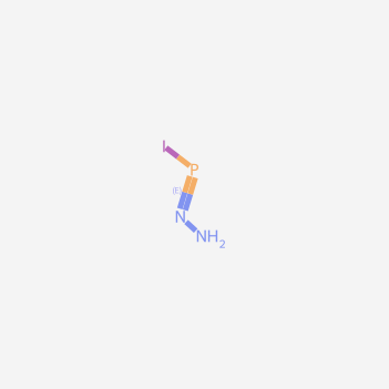 N/N=P/I